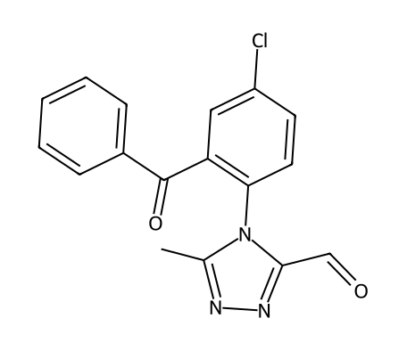 Cc1nnc(C=O)n1-c1ccc(Cl)cc1C(=O)c1ccccc1